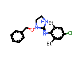 CCc1cc(Cl)cc(CC)c1/N=C1\NCCN1OCc1ccccc1